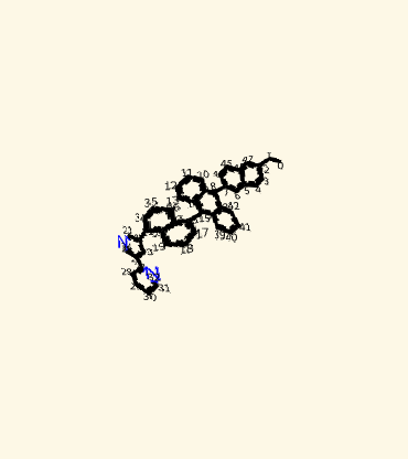 CCc1ccc2cc(-c3c4ccccc4c(-c4cccc5c(-c6cncc(-c7ccccn7)c6)cccc45)c4ccccc34)ccc2c1